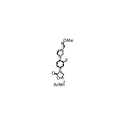 CO/N=C/N1C=CN(c2ccc(N3C[C@H](CNC(C)=O)OC3=O)cc2F)C1